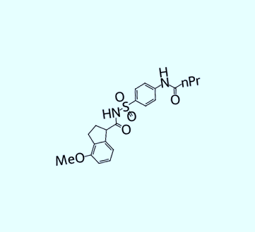 CCCC(=O)Nc1ccc(S(=O)(=O)NC(=O)C2CCc3c(OC)cccc32)cc1